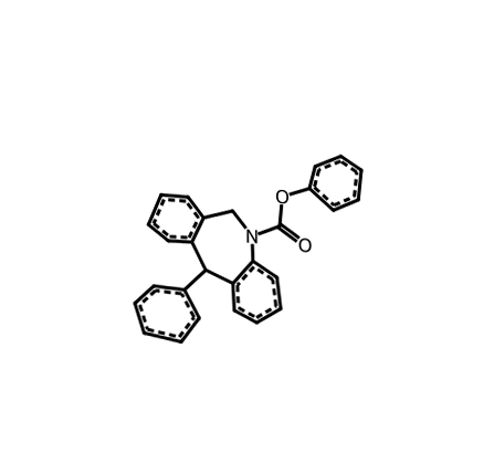 O=C(Oc1ccccc1)N1Cc2ccccc2C(c2ccccc2)c2ccccc21